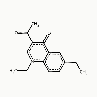 CCc1ccc2c(c1)c(=O)c(C(C)=O)cn2CC